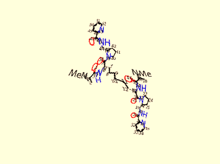 CN[C@@H](C)C(=O)N[C@@H](CCCCCC[C@H](NC(=O)[C@H](C)NC)C(=O)N1CCC[C@H]1CNC(=O)c1ccccn1)C(=O)N1CCC[C@H]1CNC(=O)c1ccccn1